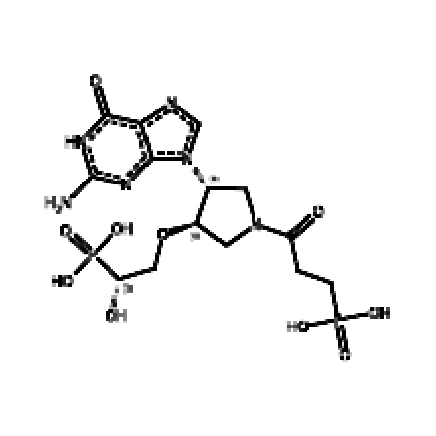 Nc1nc2c(ncn2[C@@H]2CN(C(=O)CCP(=O)(O)O)C[C@H]2OC[C@H](O)P(=O)(O)O)c(=O)[nH]1